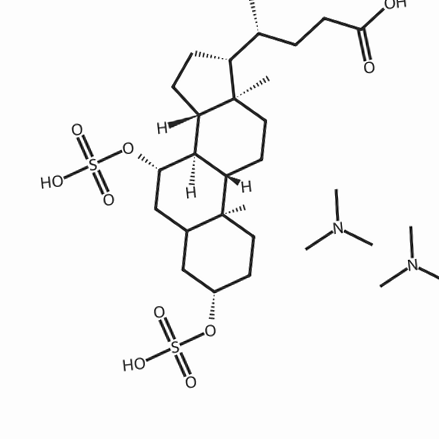 CN(C)C.CN(C)C.C[C@H](CCC(=O)O)[C@H]1CC[C@H]2[C@@H]3[C@@H](OS(=O)(=O)O)CC4C[C@@H](OS(=O)(=O)O)CC[C@]4(C)[C@H]3CC[C@]12C